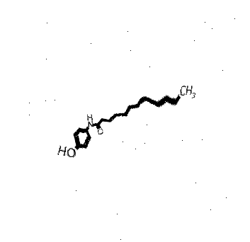 CCCCCCCCCCCC(=O)Nc1ccc(O)cc1